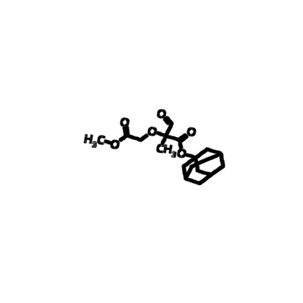 COC(=O)COC(C)(C=O)C(=O)OC12CC3CC(CC(C3)C1)C2